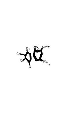 COc1cc(N)ccc1N.Nc1ccc(Cl)c(Cl)c1Cl